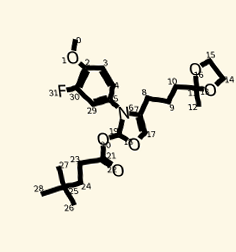 COc1ccc(N2C(CCCC3(C)OCCO3)=COC2OC(=O)CCC(C)(C)C)cc1F